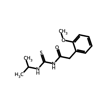 COc1ccccc1CC(=O)NC(=S)NC(C)C